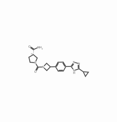 NC(=O)[C@H]1CCN(C(=O)N2CC(c3ccc(-c4nnc(C5CC5)[nH]4)cc3)C2)C1